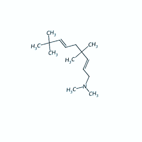 CN(C)C/C=C/C(C)(C)CC=CC(C)(C)C